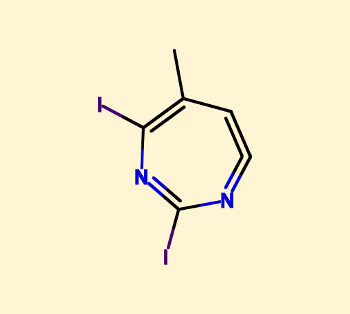 CC1=C(I)N=C(I)N=C=C1